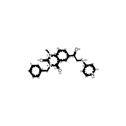 Cn1c(=O)n(Cc2ccccc2)c(=O)c2cc(C(=O)CSc3ccncc3)ccc21